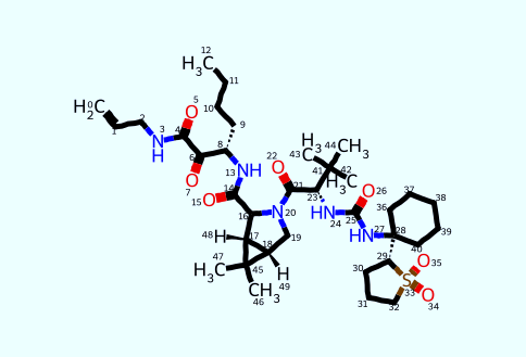 C=CCNC(=O)C(=O)[C@H](CCCC)NC(=O)C1[C@@H]2[C@H](CN1C(=O)[C@@H](NC(=O)NC1([C@H]3CCCS3(=O)=O)CCCCC1)C(C)(C)C)C2(C)C